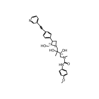 COc1ccc(NC(=O)N(C)C[C@H](O)C(C)(O)CN2CC(c3ccc(C#Cc4cccnc4)cc3)[C@H]2CO)cc1